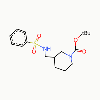 CC(C)(C)OC(=O)N1CCCC(CNS(=O)(=O)c2ccccc2)C1